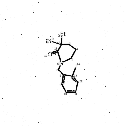 CCC1(CC)CCCN(Cc2ccccc2I)C1=O